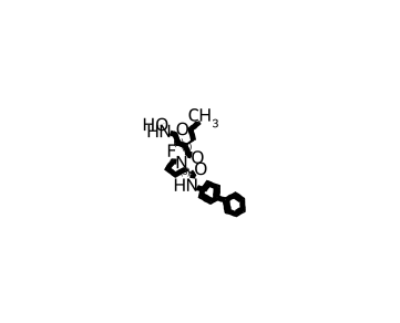 CCCC[C@@H](C(=O)N1CCC[C@H]1C(=O)Nc1ccc(-c2ccccc2)cc1)[C@@H](F)C(=O)NO